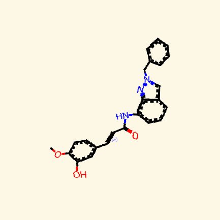 COc1ccc(/C=C/C(=O)Nc2cccc3cn(Cc4ccccc4)nc23)cc1O